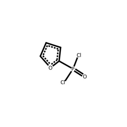 O=P(Cl)(Cl)c1ccco1